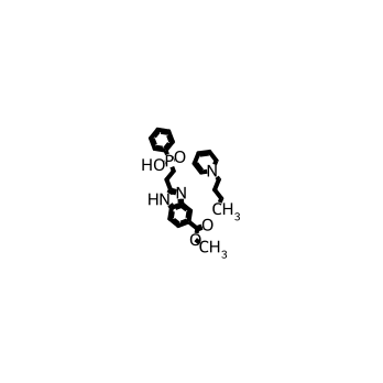 CCCCN1C=CC=CC1.COC(=O)c1ccc2[nH]c(CCP(=O)(O)c3ccccc3)nc2c1